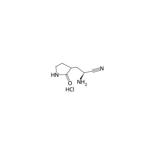 Cl.N#C[C@@H](N)CC1CCNC1=O